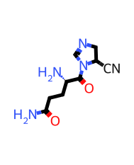 N#CC1CN=CN1C(=O)[C@@H](N)CCC(N)=O